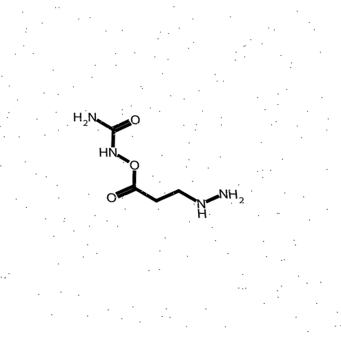 NNCCC(=O)ONC(N)=O